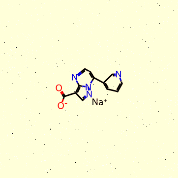 O=C([O-])c1cnn2c(-c3cccnc3)ccnc12.[Na+]